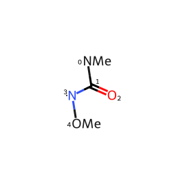 CNC(=O)[N]OC